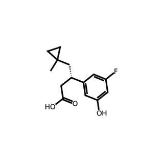 CC1(C[C@@H](CC(=O)O)c2cc(O)cc(F)c2)CC1